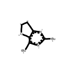 CC(C)(C)c1nc2c(c(C(C)(C)C)n1)OCC2